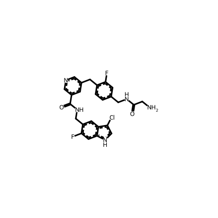 NCC(=O)NCc1ccc(Cc2cncc(C(=O)NCc3cc4c(Cl)c[nH]c4cc3F)c2)c(F)c1